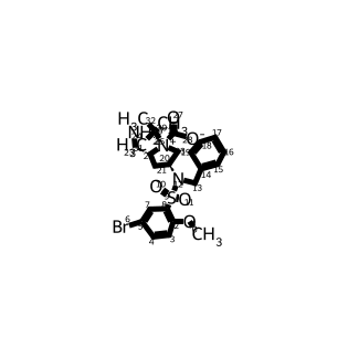 COc1ccc(Br)cc1S(=O)(=O)N(Cc1ccccc1)[C@@H]1C[C@H](CN)[N+](C(=O)[O-])(C(C)(C)C)C1